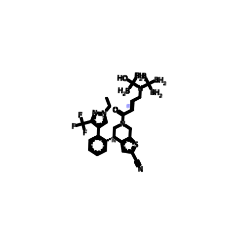 BC(B)(B)N(C/C=C/C(=O)N1Cc2sc(C#N)cc2[C@H](c2ccccc2-c2cn(CC)nc2C(F)(F)F)C1)C(B)(B)O